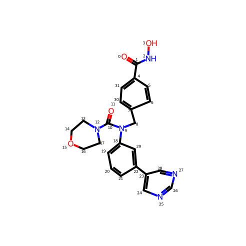 O=C(NO)c1ccc(CN(C(=O)N2CCOCC2)c2cccc(-c3cncnc3)c2)cc1